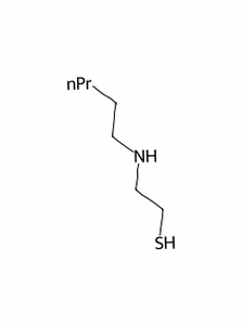 [CH2]CCCCNCCS